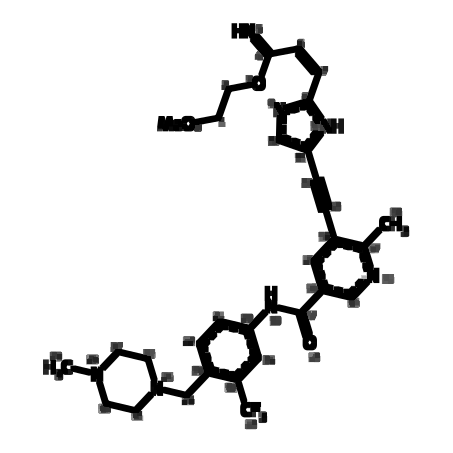 COCCOC(=N)/C=C\c1ncc(C#Cc2cc(C(=O)Nc3ccc(CN4CCN(C)CC4)c(C(F)(F)F)c3)cnc2C)[nH]1